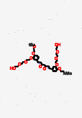 CNCCOc1ccc(/C=C/C(=O)CC(=O)/C=C/c2ccc(OCCOC(C)(C)C)c(OCCOCCOCCO)c2)cc1OCCOCCOCCO